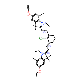 C#COc1cc(C)c2c(c1)C(C)(C)C(/C=C/C1=C(Cl)C(=C/C=C3\N(CC)c4c(C)cc(OCC)cc4C3(C)C)/CCC1)=[N+]2CC